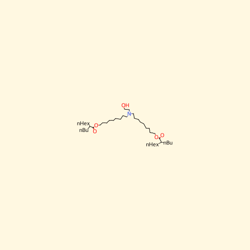 CCCCCCC(CCCC)C(=O)OCCCCCCCCCN(CCO)CCCCCCCCCOC(=O)C(CCCC)CCCCCC